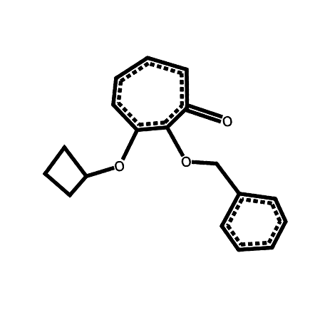 O=c1ccccc(OC2CCC2)c1OCc1ccccc1